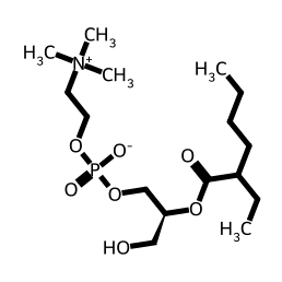 CCCCC(CC)C(=O)O[C@@H](CO)COP(=O)([O-])OCC[N+](C)(C)C